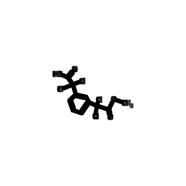 COC(=O)C(Cl)(Cl)c1cccc(C(Cl)(Cl)C(=O)O)c1